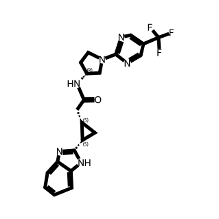 O=C(C[C@@H]1C[C@@H]1c1nc2ccccc2[nH]1)N[C@@H]1CCN(c2ncc(C(F)(F)F)cn2)C1